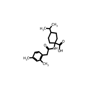 Cc1ccc(CC(=O)NC2(C(=O)O)CCC(C(C)C)CC2)c(C)c1